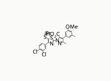 COc1cc(C)cc(-c2c(C)nn(-c3nc(-c4ccc(Cl)c(Cl)c4)c(SC(C)C)s3)c2C(=O)O)c1